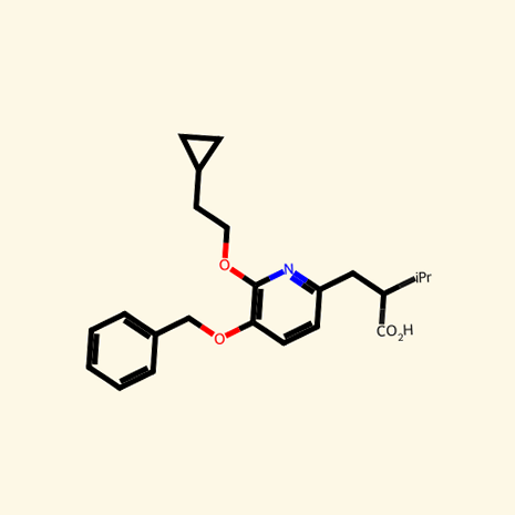 CC(C)C(Cc1ccc(OCc2ccccc2)c(OCCC2CC2)n1)C(=O)O